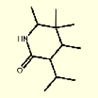 CC(C)C1C(=O)NC(C)C(C)(C)C1C